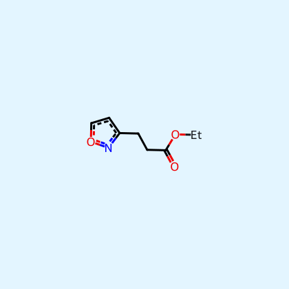 CCOC(=O)CCc1ccon1